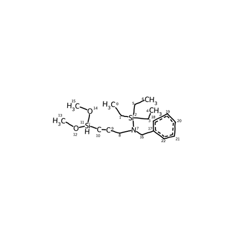 CC[Si](CC)(CC)N(CCC[SiH](OC)OC)Cc1ccccc1